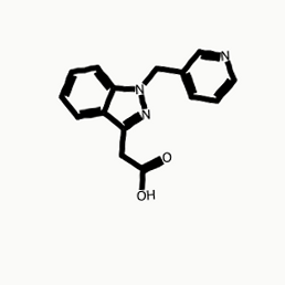 O=C(O)Cc1nn(Cc2cccnc2)c2ccccc12